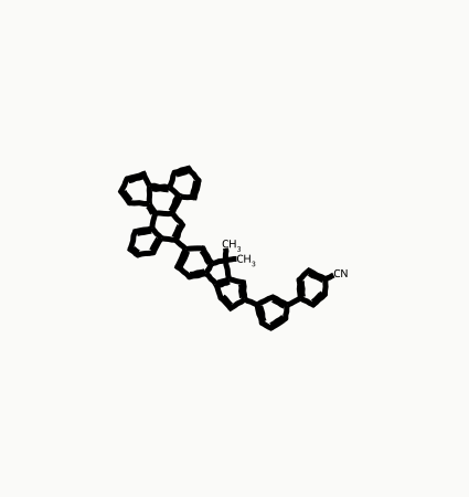 CC1(C)c2cc(-c3cccc(-c4ccc(C#N)cc4)c3)ccc2-c2ccc(-c3cc4c5ccccc5c5ccccc5c4c4ccccc34)cc21